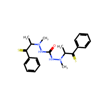 CC(C(=S)c1ccccc1)N(C)NC(=O)NN(C)C(C)C(=S)c1ccccc1